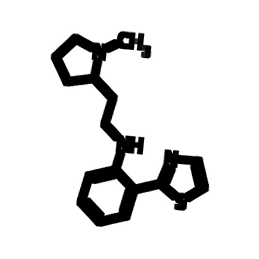 CN1CCCC1CCNc1ccccc1-c1nccs1